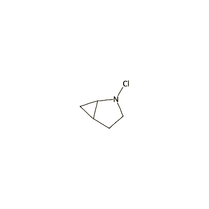 ClN1CCC2CC21